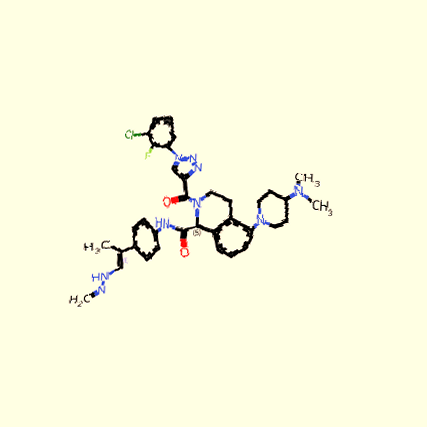 C=NN/C=C(\C)c1ccc(NC(=O)[C@@H]2c3cccc(N4CCC(N(C)C)CC4)c3CCN2C(=O)c2cn(-c3cccc(Cl)c3F)nn2)cc1